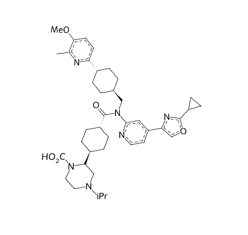 COc1ccc([C@H]2CC[C@H](CN(c3cc(-c4coc(C5CC5)n4)ccn3)C(=O)[C@H]3CC[C@H](C4CN(C(C)C)CCN4C(=O)O)CC3)CC2)nc1C